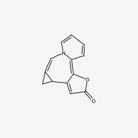 O=C1C=C2C(=C3C=CC=CN3C=C3CC32)O1